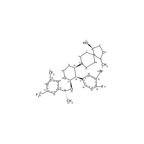 CC1OC[C@H](O)C12CCN([C@@H]1CCO[C@H](O[C@H](C)c3cc(C(F)(F)F)cc(C(F)(F)F)c3)[C@@H]1c1ccc(F)c(Br)c1)CC2